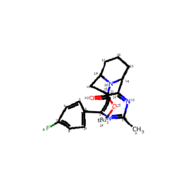 Cc1nc(-c2ccc(F)cc2)c2c(n1)C1CCCC(C2)N1C(=O)OC(C)(C)C